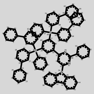 c1ccc(-c2cccc(S(c3ccccc3)(c3cccc(-c4ccccc4)c3)c3cc(-c4cc(-n5c6ccccc6c6ccccc65)nc(-c5ccccc5)n4)cc(S(c4ccccc4)(c4cccc(-c5ccccc5)c4)c4cccc(-c5ccccc5)c4)c3)c2)cc1